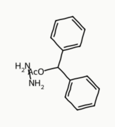 CC(=O)OC(c1ccccc1)c1ccccc1.NN